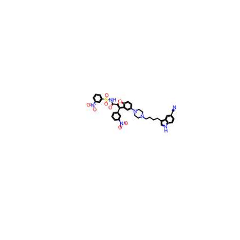 N#Cc1ccc2[nH]cc(CCCCN3CCN(c4ccc5oc(C(=O)NS(=O)(=O)c6cccc([N+](=O)[O-])c6)c(-c6cccc([N+](=O)[O-])c6)c5c4)CC3)c2c1